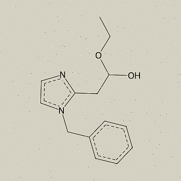 CCOC(O)Cc1nccn1Cc1ccccc1